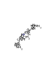 Cn1c(/N=C/c2ccc(NC(=O)CCn3cnc4c(N)ncnc43)s2)ccc1NC(=O)CCn1cnc2c(N)ncnc21